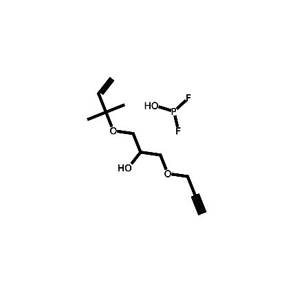 C#CCOCC(O)COC(C)(C)C=C.OP(F)F